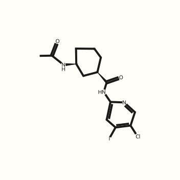 CC(=O)N[C@H]1CCC[C@@H](C(=O)Nc2cc(I)c(Cl)cn2)C1